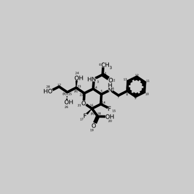 CC(=O)NC1C(NCc2ccccc2)C(F)[C@](F)(C(=O)O)OC1[C@H](O)[C@H](O)CO